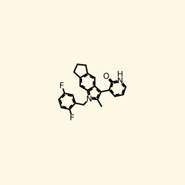 Cc1c(-c2ccc[nH]c2=O)c2cc3c(cc2n1Cc1cc(F)ccc1F)CCC3